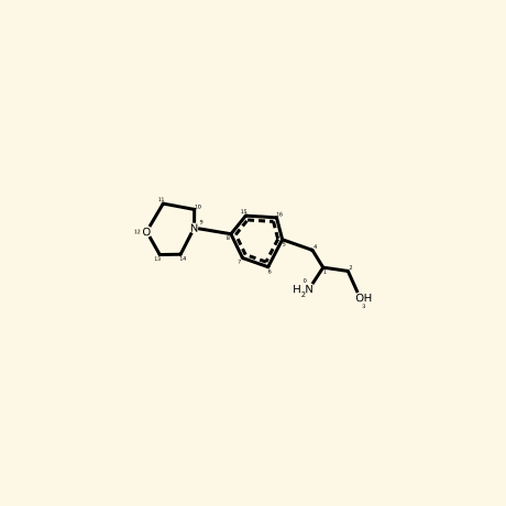 NC(CO)Cc1ccc(N2CCOCC2)cc1